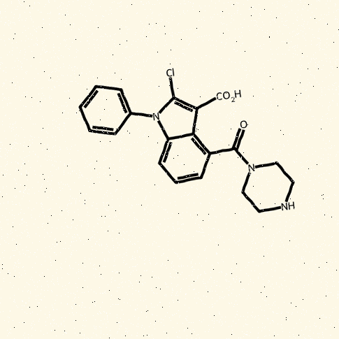 O=C(O)c1c(Cl)n(-c2ccccc2)c2cccc(C(=O)N3CCNCC3)c12